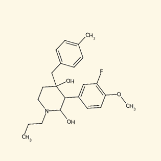 CCCN1CCC(O)(Cc2ccc(C)cc2)C(c2ccc(OC)c(F)c2)C1O